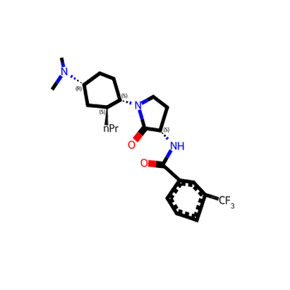 CCC[C@H]1C[C@H](N(C)C)CC[C@@H]1N1CC[C@H](NC(=O)c2cccc(C(F)(F)F)c2)C1=O